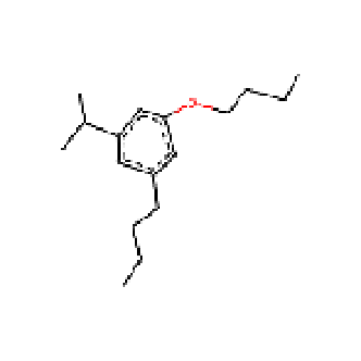 CCCCOc1cc(CCCC)cc([C](C)C)c1